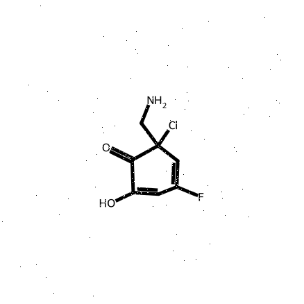 NCC1(Cl)C=C(F)C=C(O)C1=O